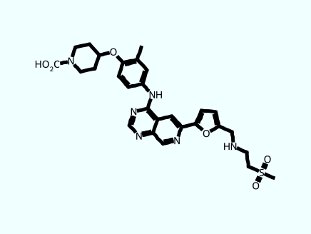 Cc1cc(Nc2ncnc3cnc(-c4ccc(CNCCS(C)(=O)=O)o4)cc23)ccc1OC1CCN(C(=O)O)CC1